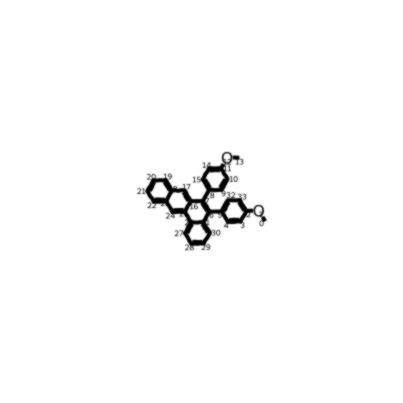 COc1ccc(-c2c(-c3ccc(OC)cc3)c3cc4ccccc4cc3c3ccccc23)cc1